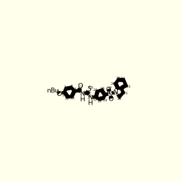 CCCCOc1ccc(C(=O)NC(=S)Nc2ccc(S(=O)(=O)N3CCc4ccccc43)cc2)cc1